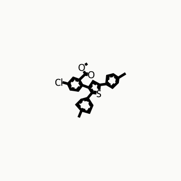 COC(=O)c1cc(Cl)ccc1-c1cc(-c2ccc(C)cc2)sc1-c1ccc(C)cc1